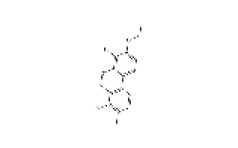 CCOc1ccc2c(c1F)OCc1c-2ccc(C)c1F